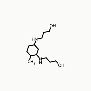 CC1CCC(NCCCO)CC1NCCCO